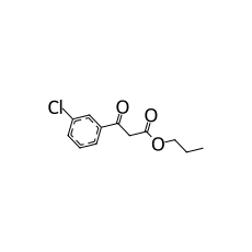 CCCOC(=O)CC(=O)c1cccc(Cl)c1